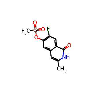 Cc1cc2cc(OS(=O)(=O)C(F)(F)F)c(F)cc2c(=O)[nH]1